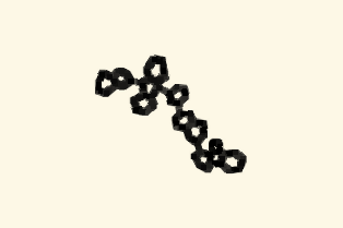 c1cc(-c2ccc3cc(-c4cccc5c4oc4ccccc45)ccc3c2)cc(-c2c3ccccc3c(-c3ccc4ccccc4c3)c3ccccc23)c1